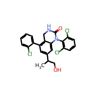 CC(CO)c1cc(-c2ccccc2Cl)c2c(c1)N(c1c(Cl)cccc1Cl)C(=O)NC2